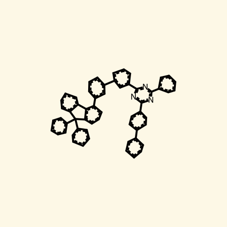 c1ccc(-c2ccc(-c3nc(-c4ccccc4)nc(-c4cccc(-c5cccc(-c6cccc7c6-c6ccccc6C7(c6ccccc6)c6ccccc6)c5)c4)n3)cc2)cc1